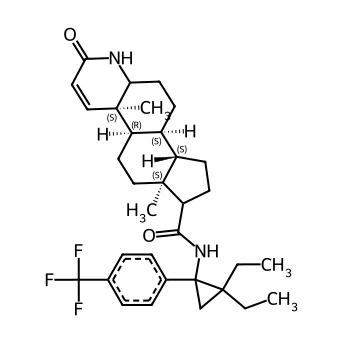 CCC1(CC)CC1(NC(=O)C1CC[C@H]2[C@@H]3CCC4NC(=O)C=C[C@]4(C)[C@@H]3CC[C@]12C)c1ccc(C(F)(F)F)cc1